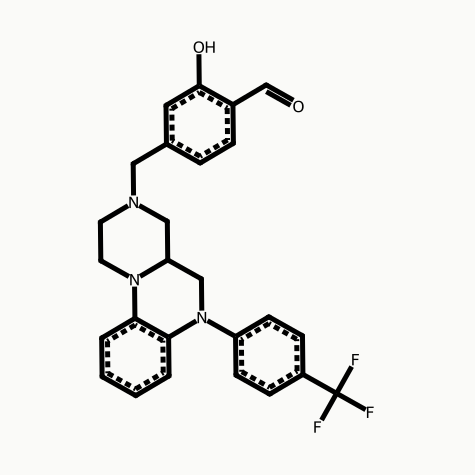 O=Cc1ccc(CN2CCN3c4ccccc4N(c4ccc(C(F)(F)F)cc4)CC3C2)cc1O